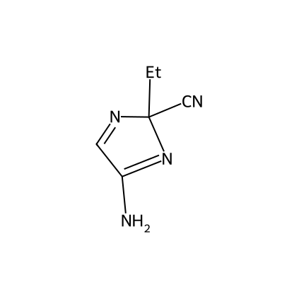 CCC1(C#N)N=CC(N)=N1